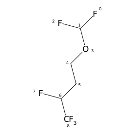 FC(F)OCCC(F)C(F)(F)F